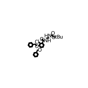 CC(C)(C)OC(=O)NCCNC(=O)c1ccc(OCc2ccccc2)c(OCc2ccccc2)c1Cl